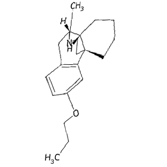 CCCOc1ccc2c(c1)[C@@]13CCCC[C@H]1[C@@H](C2)N(C)CC3